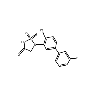 O=C1CN(c2cc(-c3cccc(F)c3)ccc2O)S(=O)(=O)N1